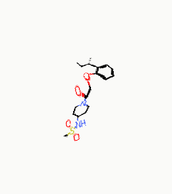 CC[C@H](C)c1ccccc1OCC(=O)N1CCC(NS(C)(=O)=O)CC1